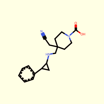 N#CCC1(CNC2CC2c2ccccc2)CCN(C(=O)O)CC1